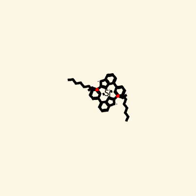 CCCCCCc1ccc(-c2cccc3c2C([Si](C)(C)C2=C(CCC)[CH]c4cccc(-c5ccc(CCCCCC)cc5)c42)=C(CCC)[CH]3)cc1